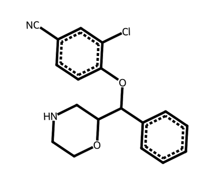 N#Cc1ccc(OC(c2ccccc2)C2CNCCO2)c(Cl)c1